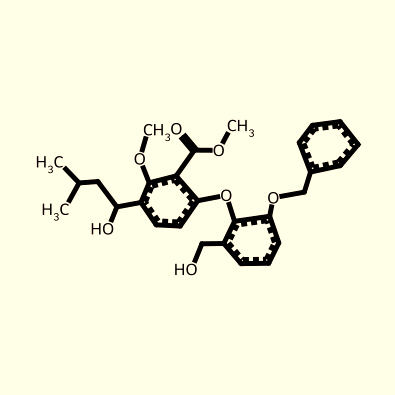 COC(=O)c1c(Oc2c(CO)cccc2OCc2ccccc2)ccc(C(O)CC(C)C)c1OC